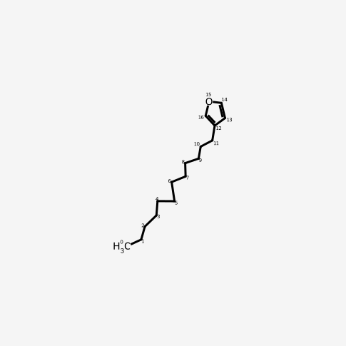 CCCCCCCCCCCCc1ccoc1